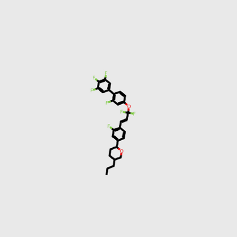 CCCC1CCC(c2ccc(/C=C/C(F)(F)Oc3ccc(-c4cc(F)c(F)c(F)c4)c(F)c3)c(F)c2)OC1